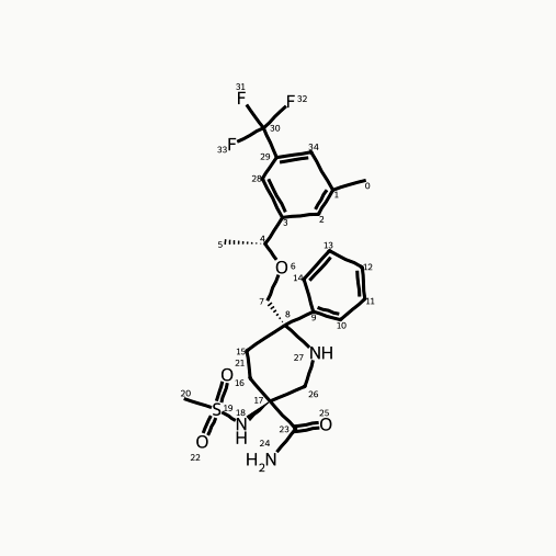 Cc1cc([C@@H](C)OC[C@@]2(c3ccccc3)CC[C@@](NS(C)(=O)=O)(C(N)=O)CN2)cc(C(F)(F)F)c1